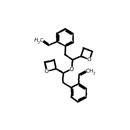 C=Cc1ccccc1CC(OC(Cc1ccccc1C=C)C1CCO1)C1CCO1